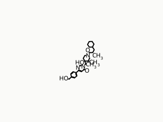 CC(CC1CCCCC1)C(=O)N1CCC(O)(Cn2cnc(-c3ccc(CO)cc3)cc2=O)C(C)(C)C1